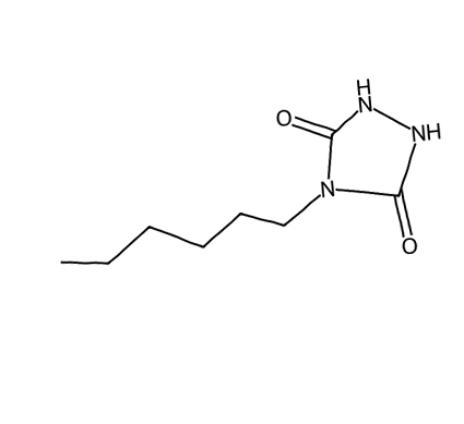 CCCCCCn1c(=O)[nH][nH]c1=O